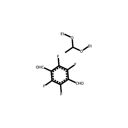 CCOC(C)OCC.O=Cc1c(F)c(F)c(C=O)c(F)c1F